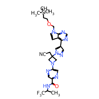 CC(NC(=O)c1cnc(N2CC(CC#N)(n3cc(-c4ncnc5c4ccn5COCC[Si](C)(C)C)cn3)C2)cn1)C(F)(F)F